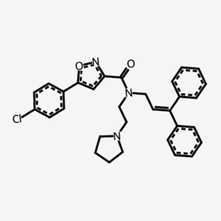 O=C(c1cc(-c2ccc(Cl)cc2)on1)N(CC=C(c1ccccc1)c1ccccc1)CCN1CCCC1